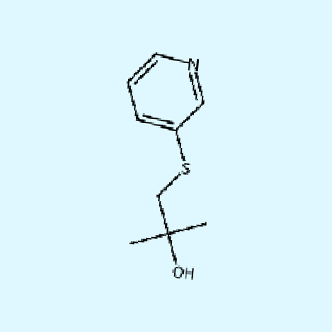 CC(C)(O)CSc1cccnc1